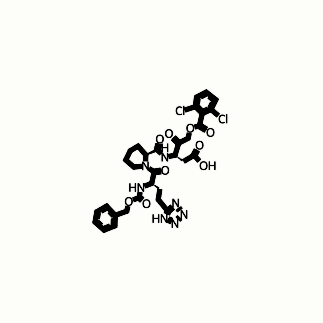 O=C(O)C[C@H](NC(=O)[C@@H]1CCCCN1C(=O)[C@H](CCc1nnn[nH]1)NC(=O)OCc1ccccc1)C(=O)COC(=O)c1c(Cl)cccc1Cl